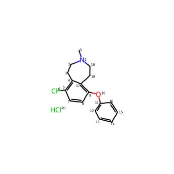 CN1CCc2c(Cl)ccc(Oc3ccccc3)c2CC1.Cl